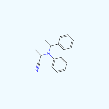 CC(C#N)N(c1ccccc1)C(C)c1ccccc1